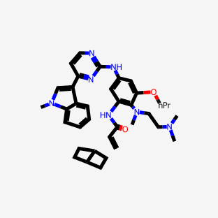 C1CC2CCC12.C=CC(=O)Nc1cc(Nc2nccc(-c3cn(C)c4ccccc34)n2)cc(OCCC)c1N(C)CCN(C)C